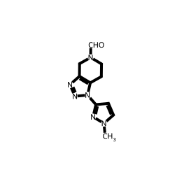 Cn1ccc(-n2nnc3c2CCN(C=O)C3)n1